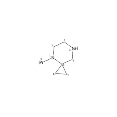 CC(C)N1CCNCC12CC2